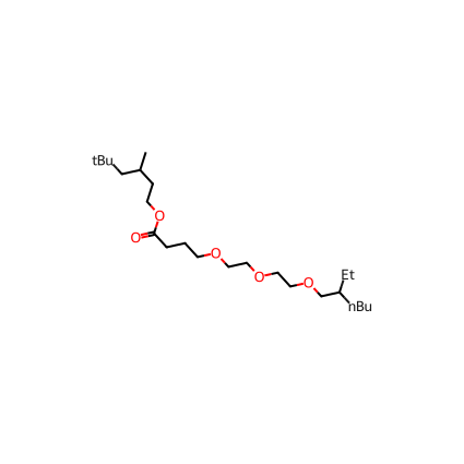 CCCCC(CC)COCCOCCOCCCC(=O)OCCC(C)CC(C)(C)C